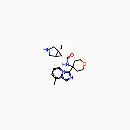 Cc1cccn2c(C3(NC(=O)[C@@H]4C5CNC[C@H]54)CCOCC3)ncc12